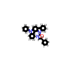 c1ccc(-c2cnc(-n3c4ccccc4c4ccc5c(c6ccccc6n5-c5ccccc5)c43)o2)cc1